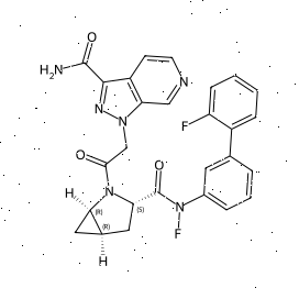 NC(=O)c1nn(CC(=O)N2[C@@H]3C[C@@H]3C[C@H]2C(=O)N(F)c2cccc(-c3ccccc3F)c2)c2cnccc12